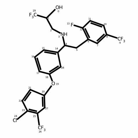 OC(CNC(Cc1cc(C(F)(F)F)ccc1F)c1cccc(Oc2ccc(Cl)c(C(F)(F)F)c2)c1)C(F)(F)F